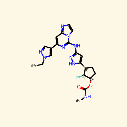 CC(C)Cn1cc(-c2cc3nccn3c(Nc3cc([C@H]4CC[C@@H](OC(=O)NC(C)C)[C@H]4F)[nH]n3)n2)cn1